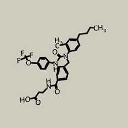 CCCCc1ccc(N(Cc2ccc(C(=O)NCCC(=O)O)cc2)C(=O)Nc2ccc(OC(F)(F)F)cc2)c(C)c1